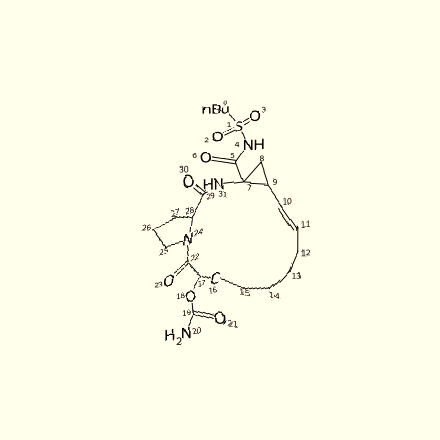 CCCCS(=O)(=O)NC(=O)C12CC1/C=C\CCCCCC(OC(N)=O)C(=O)N1CCCC1C(=O)N2